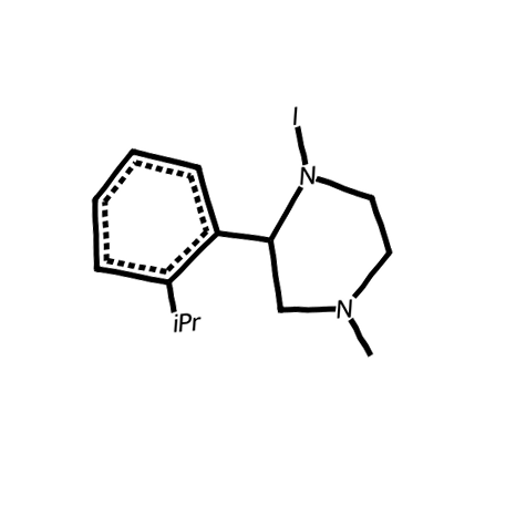 CC(C)c1ccccc1C1CN(C)CCN1I